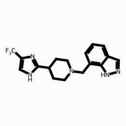 FC(F)(F)c1c[nH]c(C2CCN(Cc3cccc4cn[nH]c34)CC2)n1